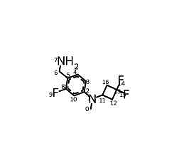 CN(c1ccc(CN)c(F)c1)C1CC(F)(F)C1